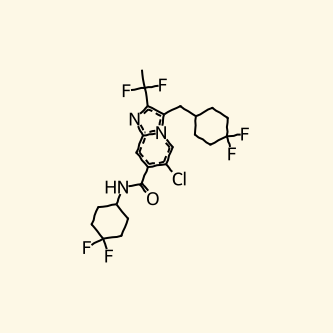 CC(F)(F)c1nc2cc(C(=O)NC3CCC(F)(F)CC3)c(Cl)cn2c1CC1CCC(F)(F)CC1